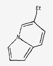 CCc1ccc2cccn2c1